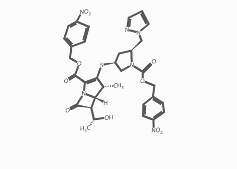 C[C@@H](O)[C@H]1C(=O)N2C(C(=O)OCc3ccc([N+](=O)[O-])cc3)=C(S[C@H]3C[C@@H](Cn4cccn4)N(C(=O)OCc4ccc([N+](=O)[O-])cc4)C3)[C@H](C)[C@H]12